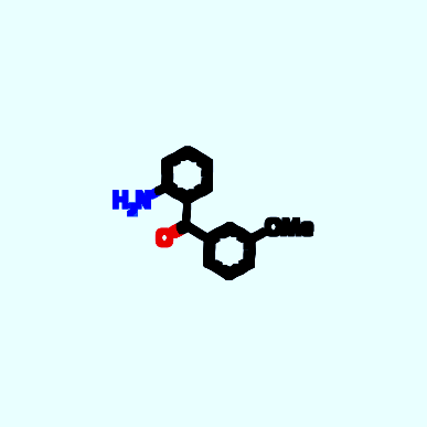 COc1cccc(C(=O)c2ccccc2N)c1